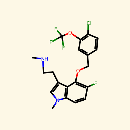 CNCCc1cn(C)c2ccc(F)c(OCc3ccc(Cl)c(OC(F)(F)F)c3)c12